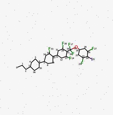 CCCC1CCC(C2CCC(C3CC(F)C(C(F)(F)OC4CC(F)C(I)C(F)C4)C(F)C3)C(F)C2)CC1